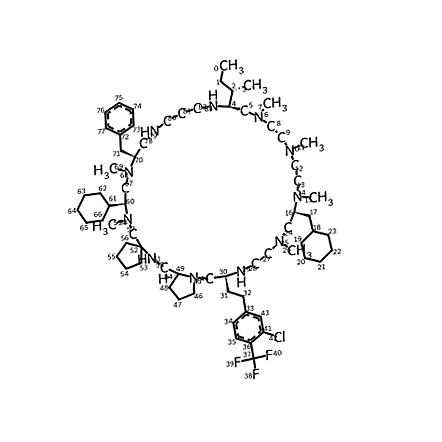 CC[C@H](C)[C@H]1CN(C)CCN(C)CCN(C)[C@@H](CC2CCCCC2)CN(C)CCN[C@@H](CCc2ccc(C(F)(F)F)c(Cl)c2)CN2CCC[C@H]2CNC2(CCCC2)CN(C)[C@@H](C2CCCCC2)CN(C)[C@@H](Cc2ccccc2)CNCCCN1